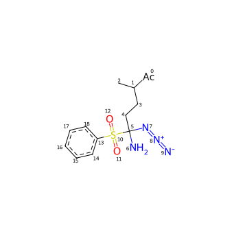 CC(=O)C(C)CCC(N)(N=[N+]=[N-])S(=O)(=O)c1ccccc1